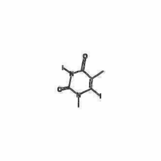 Cc1c(I)n(I)c(=O)n(I)c1=O